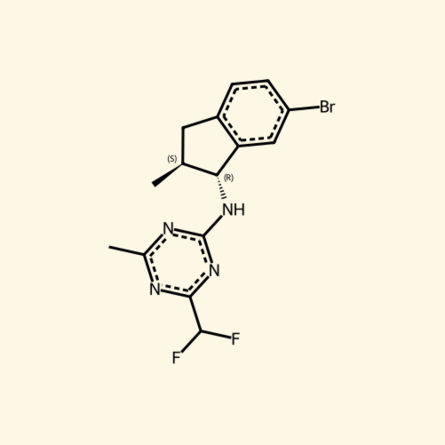 Cc1nc(N[C@H]2c3cc(Br)ccc3C[C@@H]2C)nc(C(F)F)n1